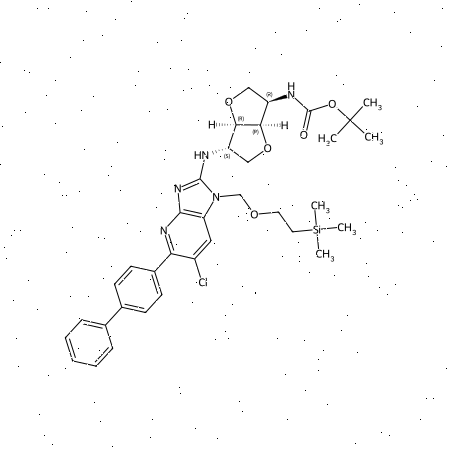 CC(C)(C)OC(=O)N[C@@H]1CO[C@H]2[C@@H]1OC[C@@H]2Nc1nc2nc(-c3ccc(-c4ccccc4)cc3)c(Cl)cc2n1COCC[Si](C)(C)C